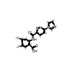 O=C(Nc1cc(F)c(F)cc1C(=O)O)c1ccc(-n2ccnc2)nn1